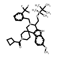 COc1ccc2c3c([nH]c2c1)C(CO[Si](C)(C)C(C)(C)C)N(Cc1ccccc1C(F)(F)F)CC31CCN(C(=O)C2CCC2)CC1